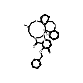 C[C@@H]1CCN2CN([C@H]3c4ccccc4SCc4cccc(c43)OC1)n1ccc(=O)c(OCc3ccccc3)c1C2=O